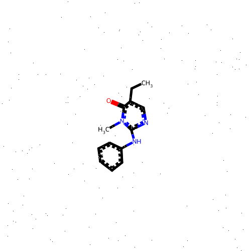 CCc1cnc(Nc2ccccc2)n(C)c1=O